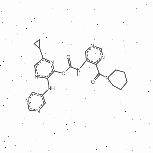 O=C(Nc1cncnc1C(=O)N1CCCCC1)Oc1nc(C2CC2)cnc1Nc1cncnc1